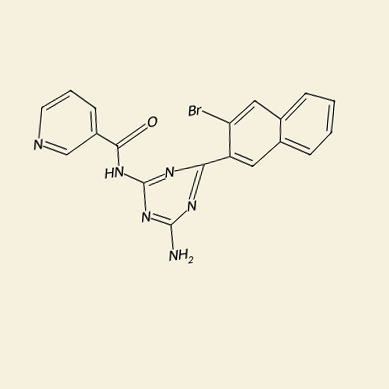 Nc1nc(NC(=O)c2cccnc2)nc(-c2cc3ccccc3cc2Br)n1